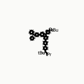 CC(C)CC(c1ccc(-c2ccc(-c3ccc4c(c3)c3cc(-c5ccc(N(c6ccccc6)c6ccccc6)cc5)ccc3n4-c3ccc(OC(C)(C)C)cc3)cc2)cc1)C(C)(C)C